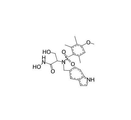 COc1cc(C)c(S(=O)(=O)N(Cc2ccc3[nH]ccc3c2)C(CO)C(=O)NO)c(C)c1C